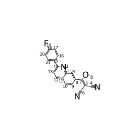 COC(=C(C#N)C#N)c1ccc2ccc(-c3ccc(F)cc3)nc2c1